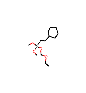 CCOCO[Si](CCC1CCCCC1)(OC)OC